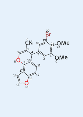 COc1cc(C2C(C#N)=COc3c2ccc2occc32)cc(Br)c1OC